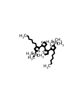 CCCCCCc1c[c]([Sn]([CH3])([CH3])[CH3])sc1-c1ccsc1-c1ccsc1-c1s[c]([Sn]([CH3])([CH3])[CH3])cc1CCCCCC